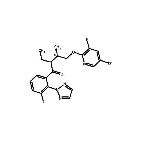 CCN(C(=O)c1cccc(F)c1-n1nccn1)[C@@H](C)COc1ncc(Br)cc1F